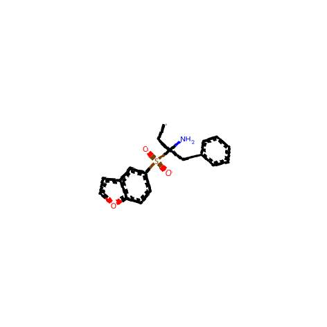 [CH2]CC(N)(Cc1ccccc1)S(=O)(=O)c1ccc2occc2c1